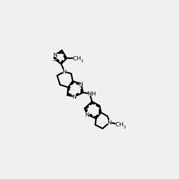 Cc1cnsc1N1CCc2cnc(Nc3cnc4c(c3)CN(C)CC4)nc2C1